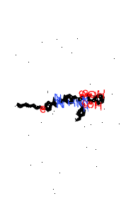 CCCCCCCOc1ccc(-c2cnc(-c3ccc(C[C@H](NC(=O)c4ccc(CC)cc4)C(=O)NC(C(=O)O)C(O)c4ccccc4)cc3)nc2)cc1